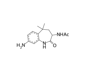 CC(=O)NC1CC(C)(C)c2ccc(N)cc2NC1=O